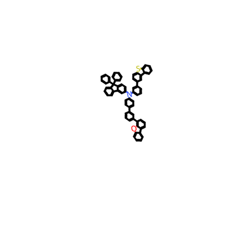 c1ccc(C2(c3ccccc3)c3ccccc3-c3cc(N(c4ccc(-c5cccc(-c6cccc7c6oc6ccccc67)c5)cc4)c4cccc(-c5ccc6sc7ccccc7c6c5)c4)ccc32)cc1